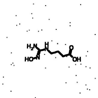 NC(=NO)NCCCC(=O)O